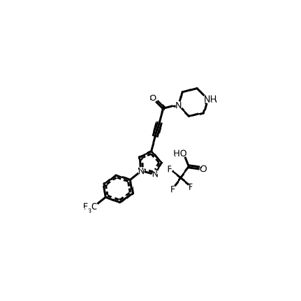 O=C(C#Cc1cnn(-c2ccc(C(F)(F)F)cc2)c1)N1CCNCC1.O=C(O)C(F)(F)F